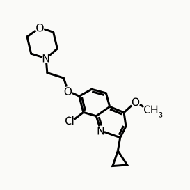 COc1cc(C2CC2)nc2c(Cl)c(OCCN3CCOCC3)ccc12